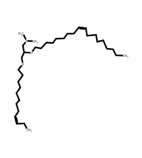 CC/C=C\CCCCCCCCOCC(CN(C)C)OCCCCCCCC/C=C\CCCCCCCC